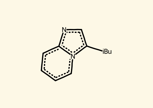 CCC(C)c1cnc2ccccn12